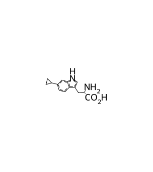 N[C@@H](Cc1c[nH]c2cc(C3CC3)ccc12)C(=O)O